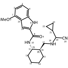 COc1cccc2[nH]c(C(=O)N[C@H]3CCCC[C@@H]3CNC(C#N)C3CC3)cc12